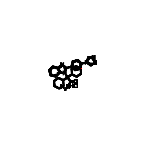 Cl.NC(=O)C(C1CCCCC1)(C1CCCCC1)n1c(-c2ccc(-n3cnnc3)cc2)nc2ccccc21